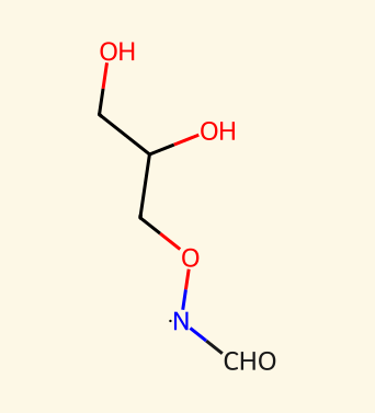 O=C[N]OCC(O)CO